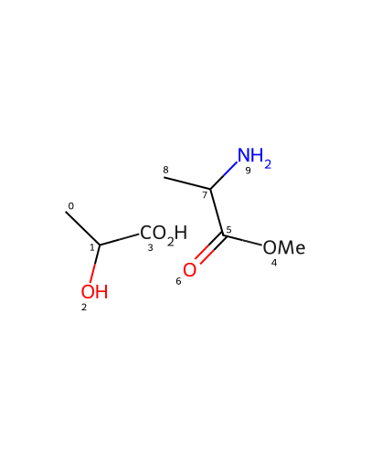 CC(O)C(=O)O.COC(=O)C(C)N